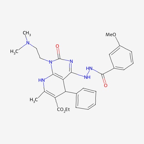 CCOC(=O)C1=C(C)Nc2c(c(NNC(=O)c3cccc(OC)c3)nc(=O)n2CCN(C)C)C1c1ccccc1